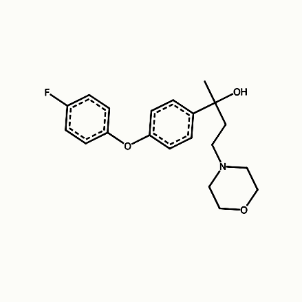 CC(O)(CCN1CCOCC1)c1ccc(Oc2ccc(F)cc2)cc1